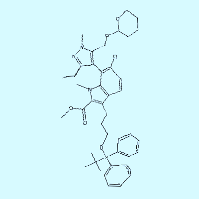 COC(=O)c1c(CCCO[Si](c2ccccc2)(c2ccccc2)C(C)(C)C)c2ccc(Cl)c(-c3c(CI)nn(C)c3COC3CCCCO3)c2n1C